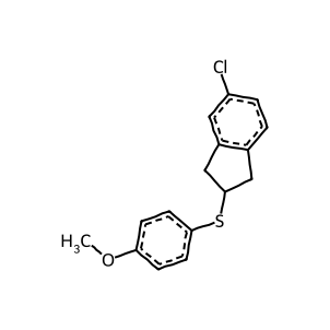 COc1ccc(SC2Cc3ccc(Cl)cc3C2)cc1